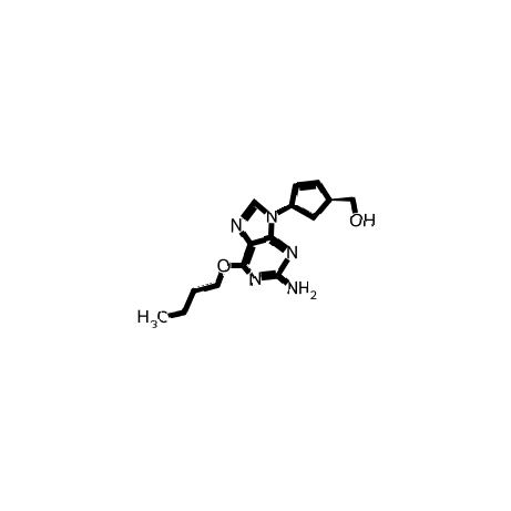 CCCCOc1nc(N)nc2c1ncn2C1C=C[C@@H](CO)C1